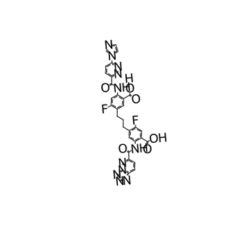 O=C(Nc1cc(F)c(CCCc2cc(NC(=O)c3ccc4nnnn4n3)c(C(=O)O)cc2F)cc1C(=O)O)c1ccc(-n2ccnc2)nn1